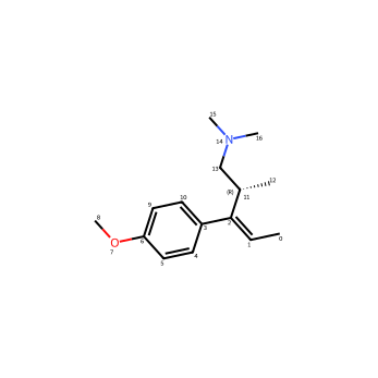 CC=C(c1ccc(OC)cc1)[C@@H](C)CN(C)C